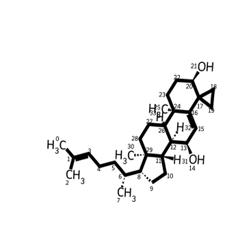 CC(C)=CCC[C@@H](C)[C@H]1CC[C@H]2[C@@H]3[C@H](O)C=C4C5(CC5)[C@H](O)CC[C@]4(C)[C@H]3CC[C@]12C